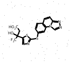 O=C(O)CC(O)(c1cnc(Sc2ccc3ccc4nncn4c3c2)s1)C(F)(F)F